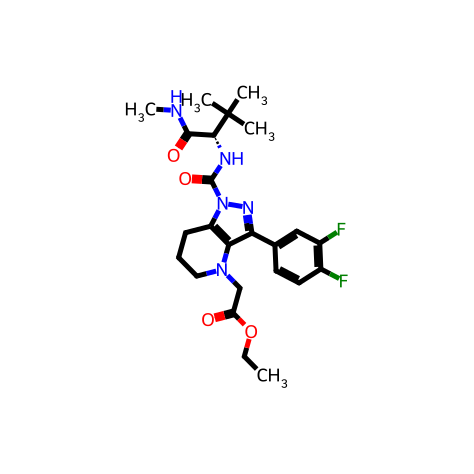 CCOC(=O)CN1CCCc2c1c(-c1ccc(F)c(F)c1)nn2C(=O)N[C@H](C(=O)NC)C(C)(C)C